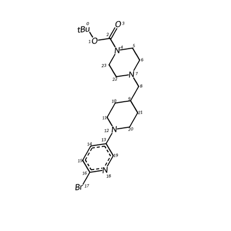 CC(C)(C)OC(=O)N1CCN(CC2CCN(c3ccc(Br)nc3)CC2)CC1